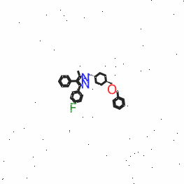 Cc1c(-c2ccccc2)c(-c2ccc(F)cc2)nn1C[C@H]1CC[C@H](COCc2ccccc2)CC1